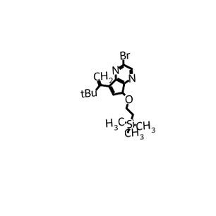 C=C(C1=CC(OCC[Si](C)(C)C)c2ncc(Br)nc21)C(C)(C)C